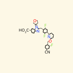 N#Cc1ccc(COc2cccc(-c3cc(F)c(Cc4nc5ccc(C(=O)O)cc5n4[C@H]4CCOC4)cc3F)n2)c(F)c1